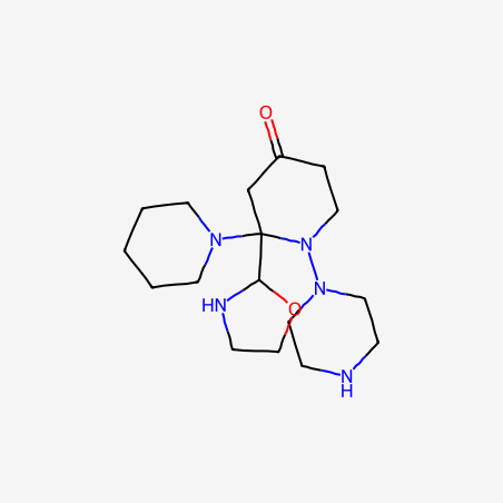 O=C1CCN(N2CCNCC2)C(C2NCCO2)(N2CCCCC2)C1